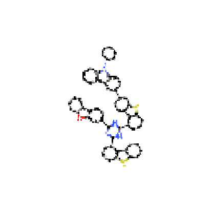 c1ccc(-n2c3ccccc3c3cc(-c4ccc5c(c4)sc4cccc(-c6nc(-c7ccc8c(c7)oc7ccccc78)nc(-c7cccc8sc9ccccc9c78)n6)c45)ccc32)cc1